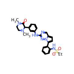 CCS(=O)(=O)Nc1ccccc1-c1ccc2cnc(Nc3cccc(C4C(=O)N(C)CCN4C)c3)nn12